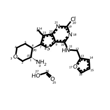 N[C@@H]1COCC[C@H]1c1sc2c(NCc3ccco3)nc(Cl)nc2c1I.O=CO